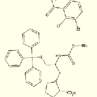 CC(C)(C)OC(=O)N[C@@H](CSC(c1ccccc1)(c1ccccc1)c1ccccc1)CN1CCC[C@H]1C(=O)O.NC(=O)c1cccc(Cl)c1Cl